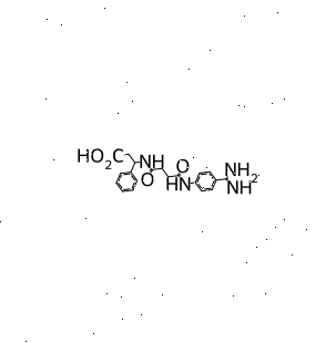 N=C(N)c1ccc(NC(=O)CCC(=O)NC(CC(=O)O)c2ccccc2)cc1